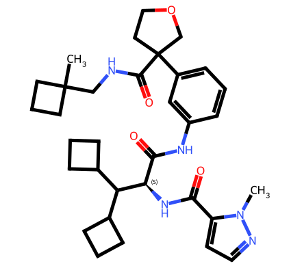 Cn1nccc1C(=O)N[C@H](C(=O)Nc1cccc(C2(C(=O)NCC3(C)CCC3)CCOC2)c1)C(C1CCC1)C1CCC1